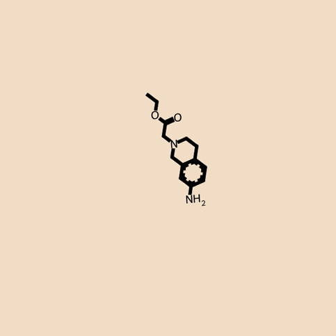 CCOC(=O)CN1CCc2ccc(N)cc2C1